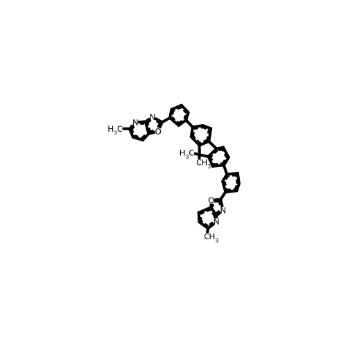 Cc1ccc2oc(-c3cccc(-c4ccc5c(c4)C(C)(C)c4cc(-c6cccc(-c7nc8nc(C)ccc8o7)c6)ccc4-5)c3)nc2n1